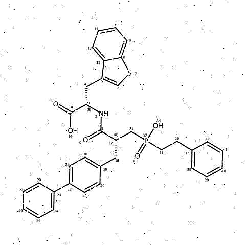 O=C(N[C@@H](Cc1csc2ccccc12)C(=O)O)[C@@H](Cc1ccc(-c2ccccc2)cc1)CP(=O)(O)CCc1ccccc1